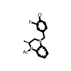 CC(=O)N1c2ccccc2N(Cc2ccc(Cl)c(F)c2)C[C@@H]1C